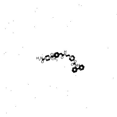 CC(C)(c1ccc(CC(=O)NCCN2CCC(OC(=O)Nc3ccccc3-c3ccccc3)CC2)cc1)N1CCN(C(N)=O)CC1